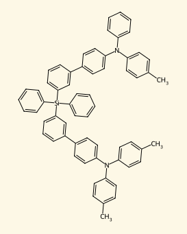 Cc1ccc(N(c2ccccc2)c2ccc(-c3cccc([Si](c4ccccc4)(c4ccccc4)c4cccc(-c5ccc(N(c6ccc(C)cc6)c6ccc(C)cc6)cc5)c4)c3)cc2)cc1